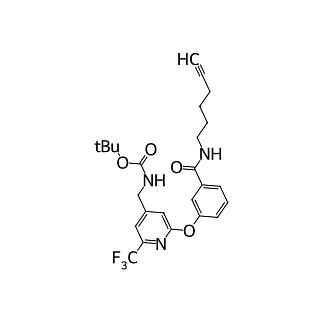 C#CCCCCNC(=O)c1cccc(Oc2cc(CNC(=O)OC(C)(C)C)cc(C(F)(F)F)n2)c1